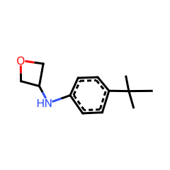 CC(C)(C)c1ccc(NC2COC2)cc1